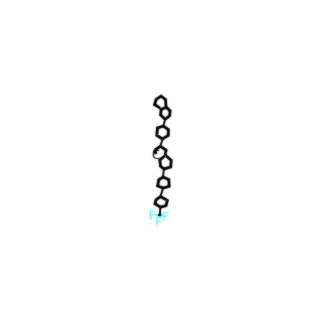 FC(F)(F)c1ccc(-c2ccc(-c3ccc4cc(-c5ccc(-c6ccc7ccccc7c6)cc5)ccc4c3)cc2)cc1